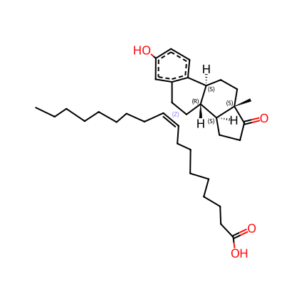 CCCCCCCC/C=C\CCCCCCCC(=O)O.C[C@]12CC[C@@H]3c4ccc(O)cc4CC[C@H]3[C@@H]1CCC2=O